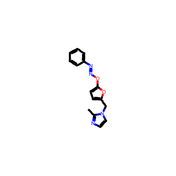 Cc1nccn1Cc1ccc(ON=Nc2ccccc2)o1